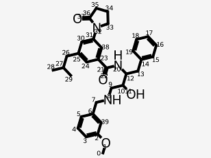 COc1cccc(CNCC(O)C(Cc2ccccc2)NC(=O)c2cc(CC(C)C)cc(N3CCCC3=O)c2)c1